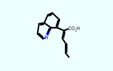 CC=CC=C(C(=O)O)c1cccc2cccnc12